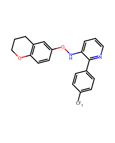 FC(F)(F)c1ccc(-c2ncccc2NOc2ccc3c(c2)CCCO3)cc1